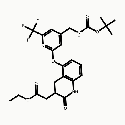 CCOC(=O)CC1Cc2c(cccc2Oc2cc(CNC(=O)OC(C)(C)C)cc(C(F)(F)F)n2)NC1=O